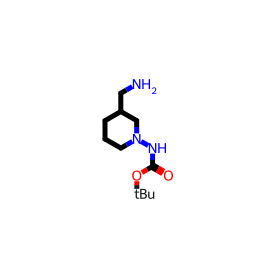 CC(C)(C)OC(=O)NN1CCCC(CN)C1